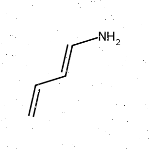 C=CC=CN